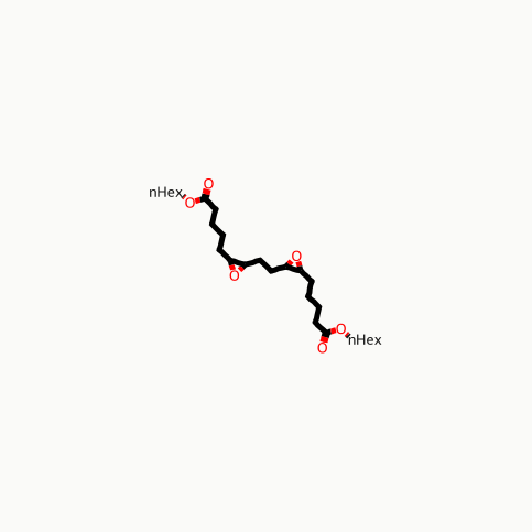 CCCCCCOC(=O)CCCCC1OC1CCC1OC1CCCCC(=O)OCCCCCC